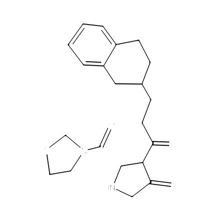 O=C(CCC1CCc2ccccc2C1)C1C(=S)CN[C@@H]1C(=O)N1CCSC1